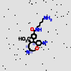 C=C1/C=C\C(N(C)C)=C/COC2=CC(=[N+](C)C)C=C/C2=C/1c1ccc(C(=O)NCCCCCN)cc1C(=O)O